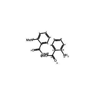 CNc1ccccc1C(=O)OC.COC(=O)c1ccccc1N